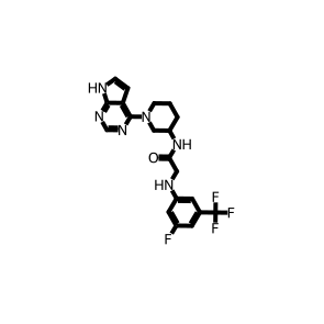 O=C(CNc1cc(F)cc(C(F)(F)F)c1)NC1CCCN(c2ncnc3[nH]ccc23)C1